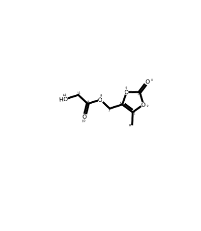 Cc1oc(=O)oc1COC(=O)CO